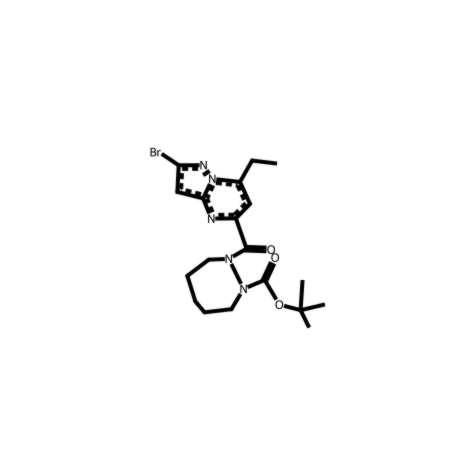 CCc1cc(C(=O)N2CCCCCN2C(=O)OC(C)(C)C)nc2cc(Br)nn12